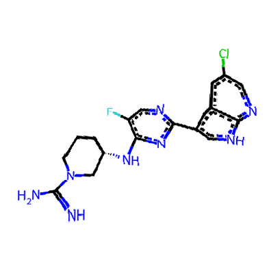 N=C(N)N1CCC[C@H](Nc2nc(-c3c[nH]c4ncc(Cl)cc34)ncc2F)C1